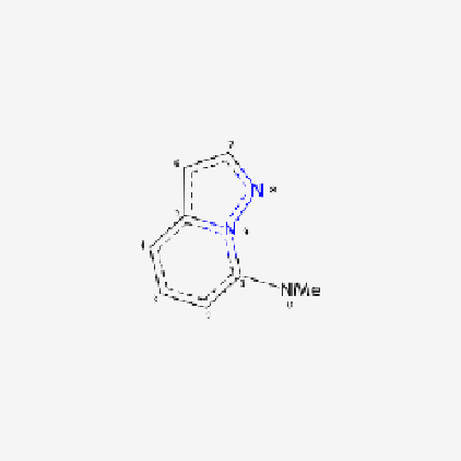 CNc1cccc2ccnn12